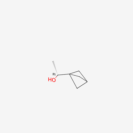 C[C@@H](O)C12CC(C1)C2